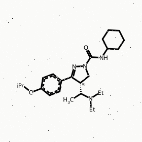 CCN(CC)C(C)[C@H]1CN(C(=O)NC2CCCCC2)N=C1c1ccc(OC(C)C)cc1